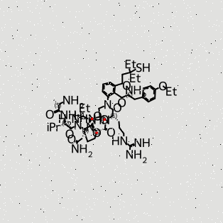 CCOc1ccc(C[C@H](N)C(=O)c2c(C(=O)CC(S)(CC)CC)cccc2N(CC(=O)NC(=O)[C@H](CC(N)=O)NC(=O)[C@@H](NC(=O)[C@H](C)N)C(C)C)C(=O)[C@H](CCCNC(=N)N)NC(=O)[C@@H]2CCCN2C(=O)C(N)CC)cc1